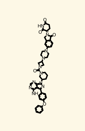 Nc1ncnc2c1c(-c1ccc(Oc3ccccc3)cc1)nn2C1CCCN(C(=O)N2CC(N3CCN(c4ccc5c(c4)CN([C@H]4CCC(=O)NC4=O)C5=O)CC3)C2)C1